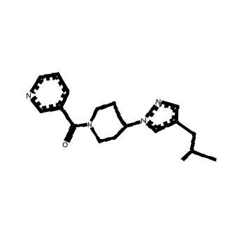 CC(C)Cc1cnn(C2CCN(C(=O)c3cccnc3)CC2)c1